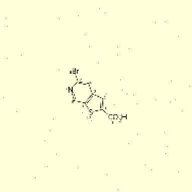 O=C(O)c1cc2cc(Br)ncc2s1